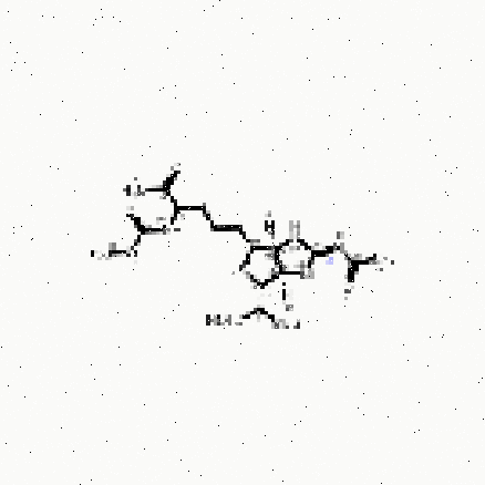 CCCCC(C(=O)O)[C@@H]1S[C@@H](CCCC(NC(=O)OC(C)(C)C)C(N)=O)[C@H]2N/C(=N/C(=O)C(F)(F)F)N[C@H]21